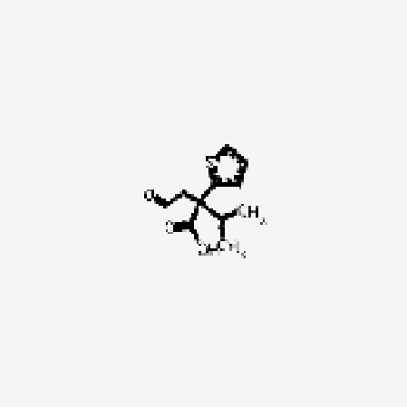 CC(C)C(CC=O)(C(=O)O)c1cccs1